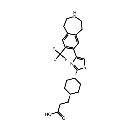 O=C(O)CC[C@H]1CC[C@H](c2nc(-c3cc4c(cc3C(F)(F)F)CCNCC4)cs2)CC1